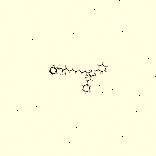 N=C(NCCCCCCS(=O)(=O)N(CCN1CCOCC1)OCC1CCCCC1)Nc1ccncc1